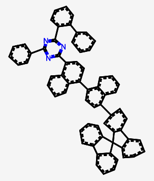 c1ccc(-c2nc(-c3ccccc3-c3ccccc3)nc(-c3ccc(-c4ccc(-c5ccc6c(c5)C5(c7ccccc7-c7ccccc75)c5ccccc5-6)c5ccccc45)c4ccccc34)n2)cc1